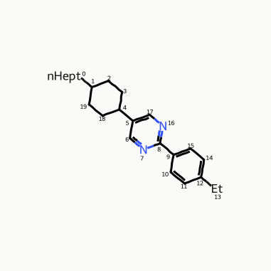 CCCCCCCC1CCC(c2cnc(-c3ccc(CC)cc3)nc2)CC1